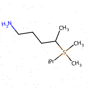 CC(C)S(C)(C)C(C)CCCN